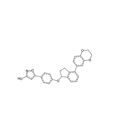 Oc1cc(-c2ccc(OC3CCc4c(-c5ccc6c(c5)OCCO6)cccc43)cc2)on1